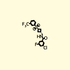 O=C(NC[C@H]1C[C@H](S(=O)(=O)c2cccc(C(F)(F)F)c2)C1)c1cc(F)cc(Cl)c1